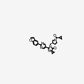 O=C(C1CC1)N1CC[C@@H](CN2C(=O)C3(CC3)N=C2c2cnc(-c3ccc4occc4c3)nc2)C1